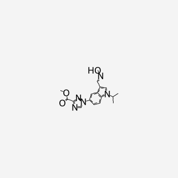 COC(=O)c1ncn(-c2ccc3c(c2)c(/C=N/O)cn3C(C)C)n1